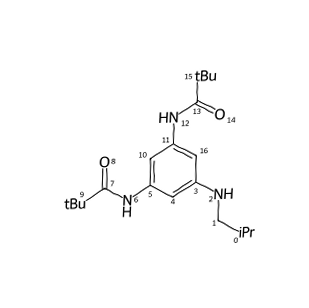 CC(C)CNc1cc(NC(=O)C(C)(C)C)cc(NC(=O)C(C)(C)C)c1